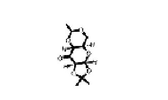 CC1OC[C@H]2O[C@@H]3OC(C)(C)O[C@@H]3C(=O)[C@@H]2O1